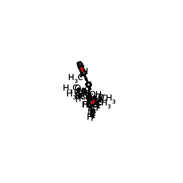 COC(=O)N[C@H](C(=O)N[C@@H](Cc1ccc(C#Cc2cnc(N3CC4CCC(C3)N4C3COC3)cc2C)cc1)[C@@H](O)CN(Cc1c(F)cc(-c2ccn(C(F)F)n2)cc1F)NC(=O)[C@@H](NC(=O)OC)C(C)(C)C(F)(F)F)C(C)(C)C(F)(F)F